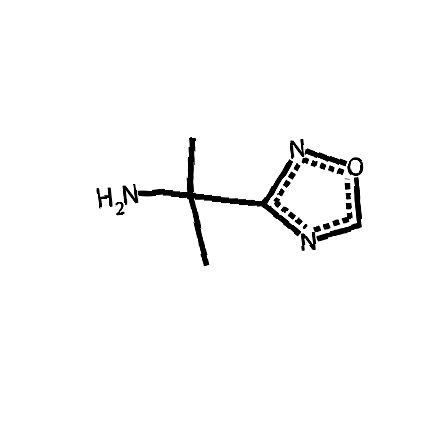 CC(C)(N)c1ncon1